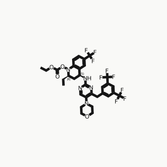 CCOC(=O)ON1c2ccc(C(F)(F)F)cc2[C@@H](Nc2ncc(N3CCOCC3)c(Cc3cc(C(F)(F)F)cc(C(F)(F)F)c3)n2)C[C@H]1CC